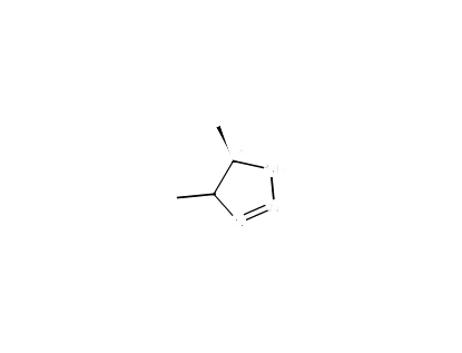 CC1N=NN[C@@H]1C